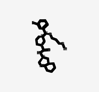 CCOCCCO[C@@H](c1cccc(F)c1)[C@@H]1CCCN(C(=O)N[C@H](CNC)CC2CCCCC2)C1